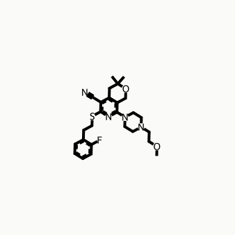 COCCN1CCN(c2nc(SCCc3ccccc3F)c(C#N)c3c2COC(C)(C)C3)CC1